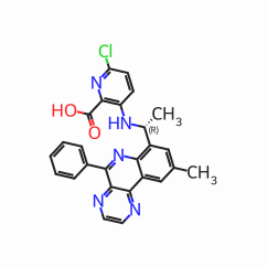 Cc1cc([C@@H](C)Nc2ccc(Cl)nc2C(=O)O)c2nc(-c3ccccc3)c3nccnc3c2c1